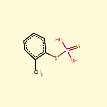 Cc1ccccc1SP(O)(O)=S